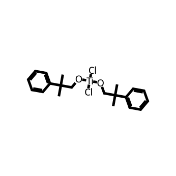 CC(C)(C[O][Ti]([Cl])([Cl])[O]CC(C)(C)c1ccccc1)c1ccccc1